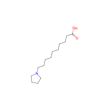 O=C(O)CCCCCCCCCN1CCCC1